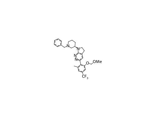 COCOc1cc(C(F)(F)F)cc(C)c1-c1cc2c(nn1)N([C@@H]1CCCN(Cc3ccccc3)C1)CC2